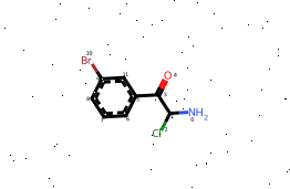 NC(Cl)C(=O)c1cccc(Br)c1